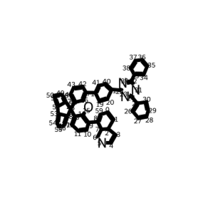 C1=CC2C=CN=CC2C(c2cccc3c2Oc2c(-c4ccc(-c5nc(-c6ccccc6)nc(-c6ccccc6)n5)cc4)cccc2C32c3ccccc3-c3ccccc32)=C1